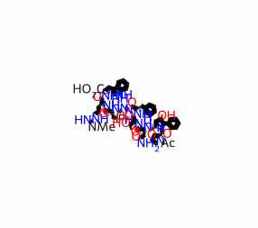 CNC(=N)NCCC[C@H](NC(=O)[C@H](CC(C)C)NC(=O)NNC(=O)[C@H](Cc1ccccc1)NC(=O)[C@@H](NC(=O)[C@H](CC(N)=O)NC(=O)[C@@H]1C[C@@H](O)C(c2ccccc2)N1C(=O)[C@@H]1CCCN1C(C)=O)[C@@H](C)O)C(=O)N[C@@H](Cc1c[nH]c2ccccc12)C(=O)O